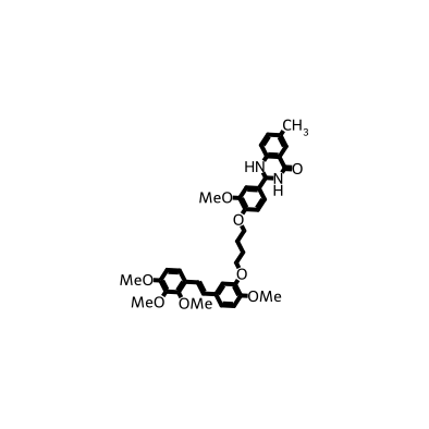 COc1cc(C2NC(=O)c3cc(C)ccc3N2)ccc1OCCCCOc1cc(C=Cc2ccc(OC)c(OC)c2OC)ccc1OC